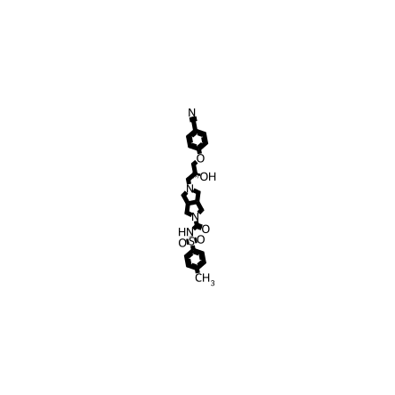 Cc1ccc(S(=O)(=O)NC(=O)N2CC3CN(C[C@H](O)COc4ccc(C#N)cc4)CC3C2)cc1